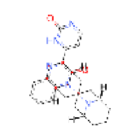 O=c1nccc(-c2nc3ccccc3n([C@H]3C[C@H]4CCC[C@@H](C3)N4[C@H]3C[C@@H]4CCC[C@@H](C4)C3)c2=O)[nH]1